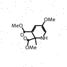 COC(=O)C1=CC(OC)=CNC1(C)C(=O)OC